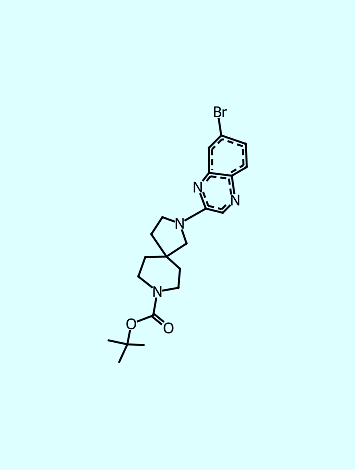 CC(C)(C)OC(=O)N1CCC2(CC1)CCN(c1cnc3ccc(Br)cc3n1)C2